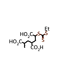 CCSC(=S)SC(CC(CC(C)C(=O)O)C(=O)O)C(=O)O